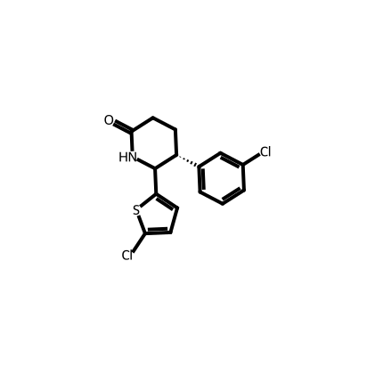 O=C1CC[C@H](c2cccc(Cl)c2)C(c2ccc(Cl)s2)N1